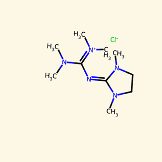 CN(C)C(N=C1N(C)CCN1C)=[N+](C)C.[Cl-]